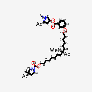 CNC(CCCCCCCCOC(=O)N1CC[C@@](C)(C(C)=O)C1)(CCCCCCOc1cccc(C(=O)O[C@H]2C[C@H](C(C)=O)N(C)C2)c1)C(C)=O